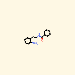 Nc1ccccc1CCNC(=O)c1ccccc1